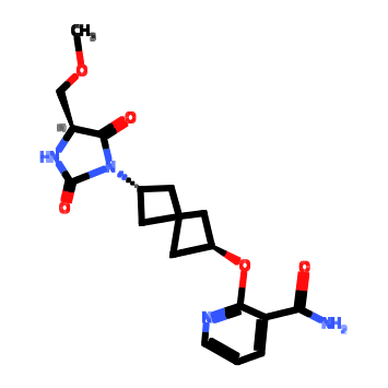 COC[C@@H]1NC(=O)N([C@H]2CC3(C[C@H](Oc4ncccc4C(N)=O)C3)C2)C1=O